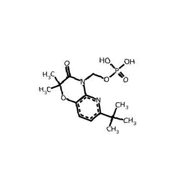 CC1(C)Oc2ccc(C(C)(C)C)nc2N(COP(=O)(O)O)C1=O